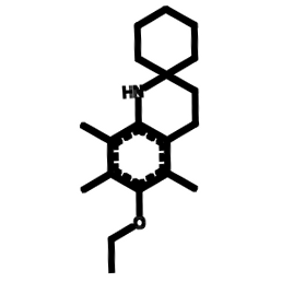 CCOc1c(C)c(C)c2c(c1C)CCC1(CCCCC1)N2